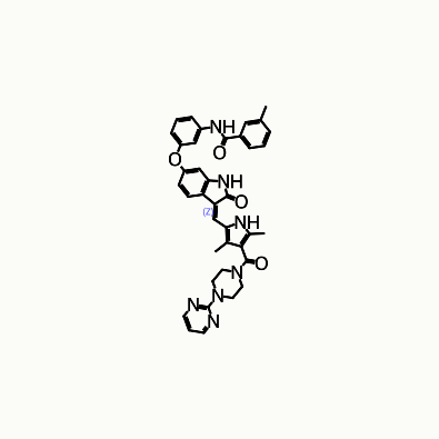 Cc1cccc(C(=O)Nc2cccc(Oc3ccc4c(c3)NC(=O)/C4=C\c3[nH]c(C)c(C(=O)N4CCN(c5ncccn5)CC4)c3C)c2)c1